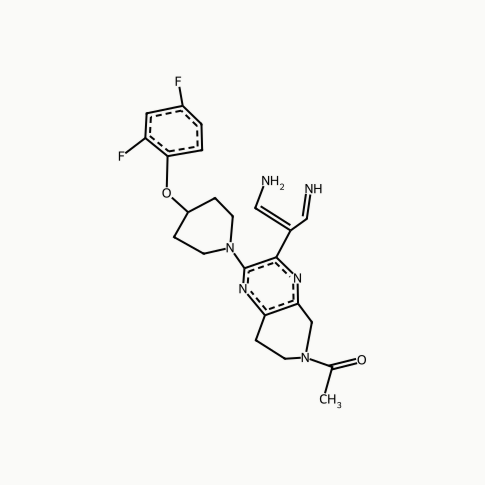 CC(=O)N1CCc2nc(N3CCC(Oc4ccc(F)cc4F)CC3)c(/C(C=N)=C/N)nc2C1